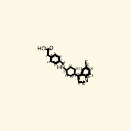 O=C(O)Cc1ccc(CNC2CCC(c3ccnc4ccc(F)cc34)CC2)cc1